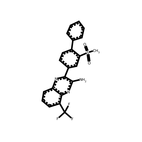 CS(=O)(=O)c1cc(-c2nc3cccc(C(F)(F)F)c3nc2N)ccc1-c1ccccc1